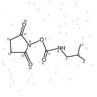 CC(C)CNC(=O)ON1C(=O)CCC1=O